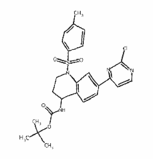 Cc1ccc(S(=O)(=O)N2CCC(NC(=O)OC(C)(C)C)c3ccc(-c4ccnc(Cl)n4)cc32)cc1